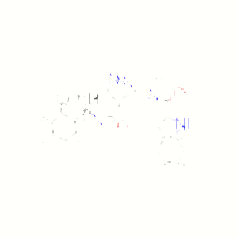 CN(C(=O)c1cnn2c1CN(C(=O)c1cc3ccccc3[nH]1)CC2)C1(c2ccccc2C(=O)O)CC1